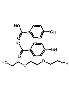 O=C(O)c1ccc(O)cc1.O=C(O)c1ccc(O)cc1.OCCOCCOCCO